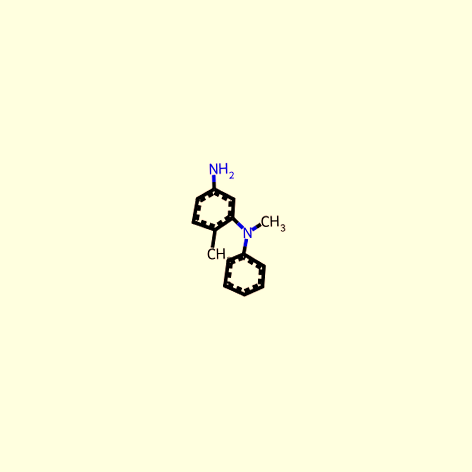 Cc1ccc(N)cc1N(C)c1ccccc1